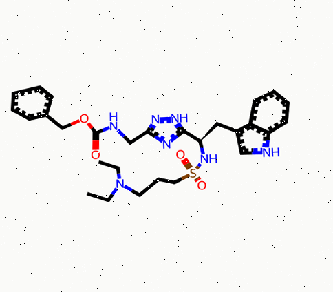 CCN(CC)CCCS(=O)(=O)N[C@H](Cc1c[nH]c2ccccc12)c1nc(CNC(=O)OCc2ccccc2)n[nH]1